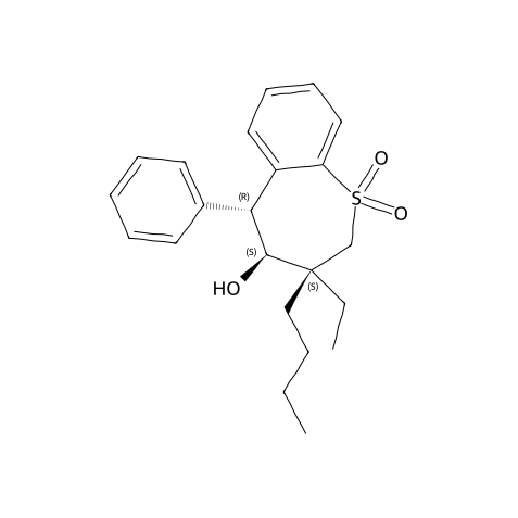 CCCC[C@]1(CC)CS(=O)(=O)c2ccccc2[C@@H](c2ccccc2)[C@@H]1O